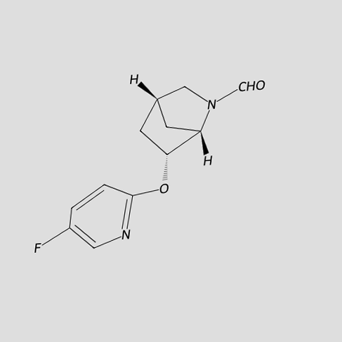 O=CN1C[C@H]2C[C@@H](Oc3ccc(F)cn3)[C@@H]1C2